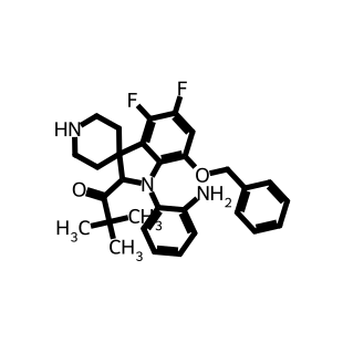 CC(C)(C)C(=O)C1N(c2ccccc2N)c2c(OCc3ccccc3)cc(F)c(F)c2C12CCNCC2